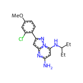 CCC(CC)Nc1cc(N)nc2cc(-c3ccc(OC)cc3Cl)nn12